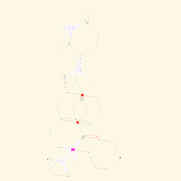 CC1(C)CCC(CN2C3CC2CN(C(=O)c2cc4c(cc2F)C(=O)N(C2CCC(=O)NC2=O)C4)C3)=C(c2ccc(F)cc2)C1